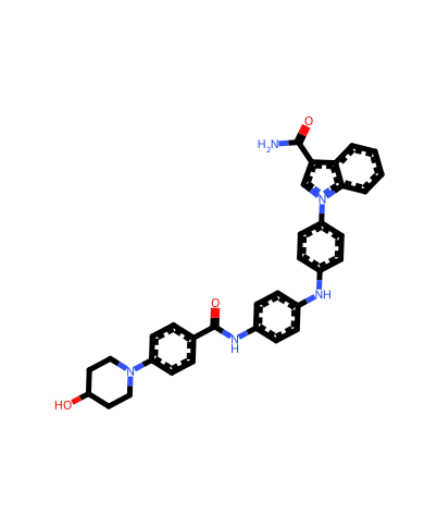 NC(=O)c1cn(-c2ccc(Nc3ccc(NC(=O)c4ccc(N5CCC(O)CC5)cc4)cc3)cc2)c2ccccc12